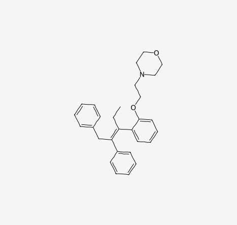 CCC(=C(Cc1ccccc1)c1ccccc1)c1ccccc1OCCN1CCOCC1